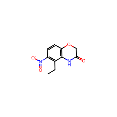 CCc1c([N+](=O)[O-])ccc2c1NC(=O)CO2